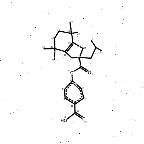 CC(C)CC1(C(=O)Oc2ccc(C(=O)O)cc2)CC2=C(C1)C(C)(C)CCC2(C)C